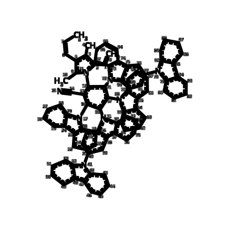 C=Cc1c(C)c(/C=C\C)c(C)n1-c1c(C#N)c(-n2c3ccccc3c3ccccc32)c(-n2c3ccccc3c3cc(-n4c5ccccc5c5ccccc54)ccc32)c(-n2c3ccccc3c3ccccc32)c1-n1c2c(c3cc(-n4c5ccccc5c5ccccc54)ccc31)C=CCC2